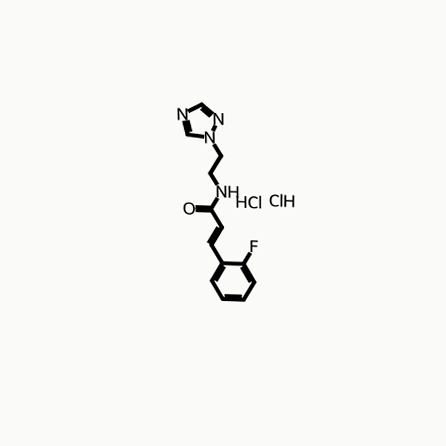 Cl.Cl.O=C(C=Cc1ccccc1F)NCCn1cncn1